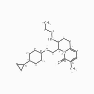 CCSNC1CCc2ccc(C)c(=O)n2C1COC1CCC(C2CC2)CC1